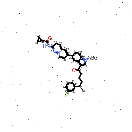 CCCCn1cc(C(=O)CCC[C@@H](C)c2cccc(F)c2)c2cc(C3=CC4=CCC(NC(=O)C5CC5)=NN4C=C3)ccc21